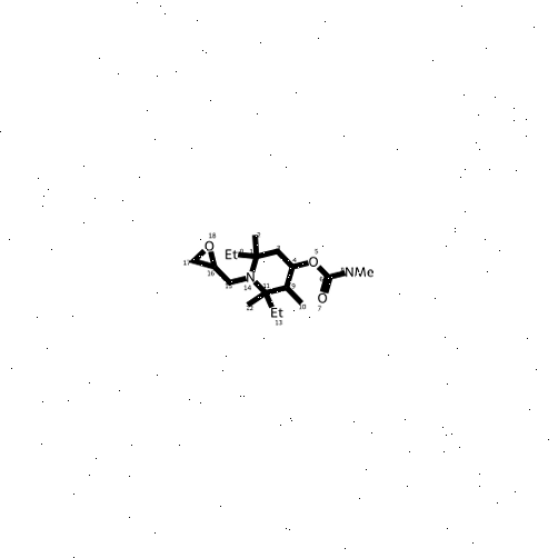 CCC1(C)CC(OC(=O)NC)C(C)C(C)(CC)N1CC1CO1